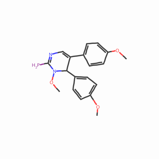 COc1ccc(C2=CN=C(P)N(OC)C2c2ccc(OC)cc2)cc1